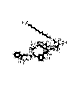 CCCCCCCCCCCCCCCC(=O)N(C)[C@H](CO)C(=O)N[C@H](C)C(=O)NCC(=O)N(C)[C@@H]1C(=O)N[C@@H](C)C(=O)N[C@H](C(=O)N[C@H](CO)Cc2c[nH]c3ccccc23)Cc2ccc(O)c(c2)-c2cc1ccc2O